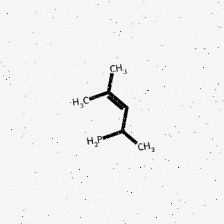 CC(C)=CC(C)P